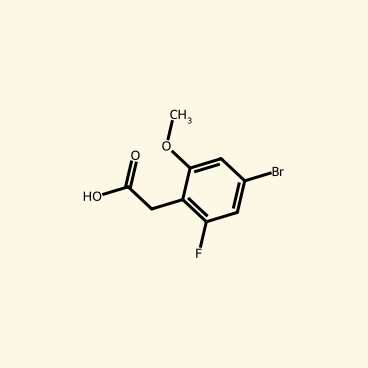 COc1cc(Br)cc(F)c1CC(=O)O